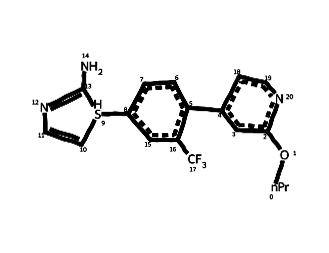 CCCOc1cc(-c2ccc([SH]3C=CN=C3N)cc2C(F)(F)F)ccn1